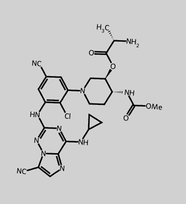 COC(=O)N[C@@H]1CCN(c2cc(C#N)cc(Nc3nc(NC4CC4)c4ncc(C#N)n4n3)c2Cl)C[C@H]1OC(=O)[C@H](C)N